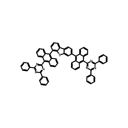 c1ccc(-c2nc(-c3ccccc3)nc(-c3c4ccccc4c(-c4ccc5c(c4)sc4c(-c6c7ccccc7c(-c7nc(-c8ccccc8)nc(-c8ccccc8)n7)c7ccccc67)cccc45)c4ccccc34)n2)cc1